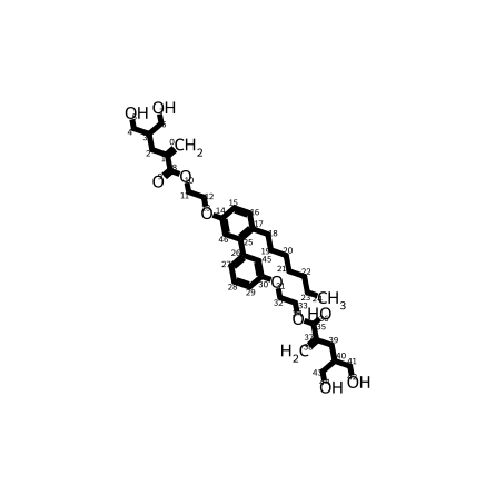 C=C(CC(CO)CO)C(=O)OCCOc1ccc(CCCCCCC)c(-c2cccc(OCCOC(O)C(=C)CC(CO)CO)c2)c1